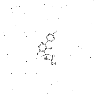 CC(C)(NC(=O)O)c1c(F)cnc(-c2ccc(F)cc2)c1F